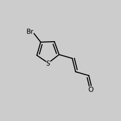 O=C/C=C/c1cc(Br)cs1